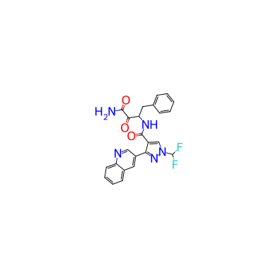 NC(=O)C(=O)C(Cc1ccccc1)NC(=O)c1cn(C(F)F)nc1-c1cnc2ccccc2c1